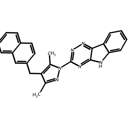 Cc1nn(-c2nnc3c(n2)[nH]c2ccccc23)c(C)c1Cc1ccc2ccccc2c1